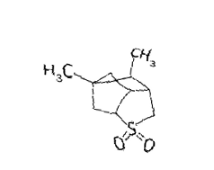 CC1C2CS(=O)(=O)C3CC1(C)CC23